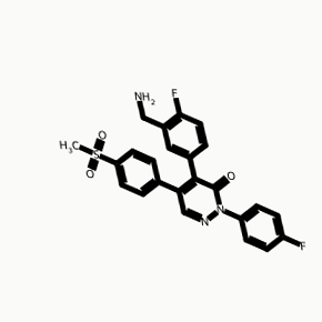 CS(=O)(=O)c1ccc(-c2cnn(-c3ccc(F)cc3)c(=O)c2-c2ccc(F)c(CN)c2)cc1